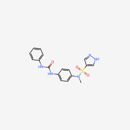 CN(c1ccc(NC(=O)Nc2ccccc2)cc1)S(=O)(=O)c1cn[nH]c1